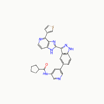 O=C(Nc1cncc(-c2ccc3[nH]nc(-c4nc5c(-c6ccsc6)nccc5[nH]4)c3c2)c1)C1CCCC1